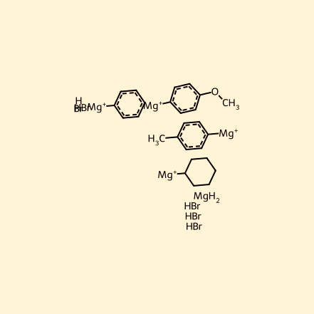 Br.Br.Br.Br.Br.COc1cc[c]([Mg+])cc1.Cc1cc[c]([Mg+])cc1.[Mg+][CH]1CCCCC1.[Mg+][c]1ccccc1.[MgH2]